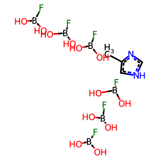 Cc1c[nH]cn1.OB(O)F.OB(O)F.OB(O)F.OB(O)F.OB(O)F.OB(O)F